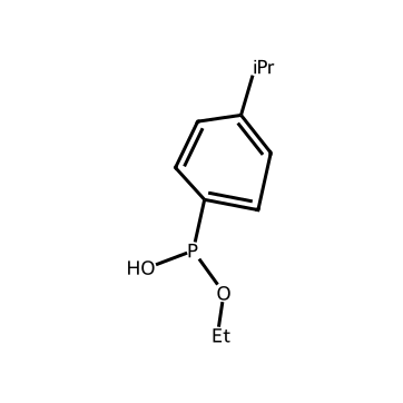 CCOP(O)c1ccc(C(C)C)cc1